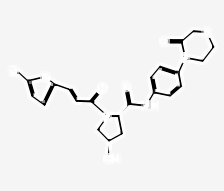 O=C(Nc1ccc(N2CCOCC2=O)cc1)[C@H]1C[C@@H](O)CN1C(=O)C=Cc1ccc(Cl)o1